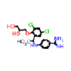 N=C(N)c1ccc(NC(C(=O)O)c2cc(Cl)cc(Cl)c2OCC(O)CO)cc1